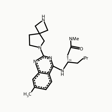 CNC(=O)C[C@H](CC(C)C)Nc1nc(N2CCC3(CNC3)C2)nc2cc(C)ccc12